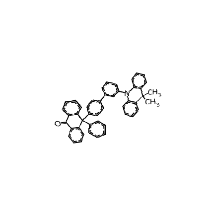 CC1(C)c2ccccc2N(c2cccc(-c3ccc(C4(c5ccccc5)c5ccccc5C(=O)c5ccccc54)cc3)c2)c2ccccc21